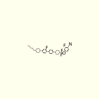 CCCCCC1CCC(c2ccc(-c3ccc(C4CCC(C(F)(F)Oc5ccc(C#N)c(F)c5)CC4)cc3)c(F)c2)CC1